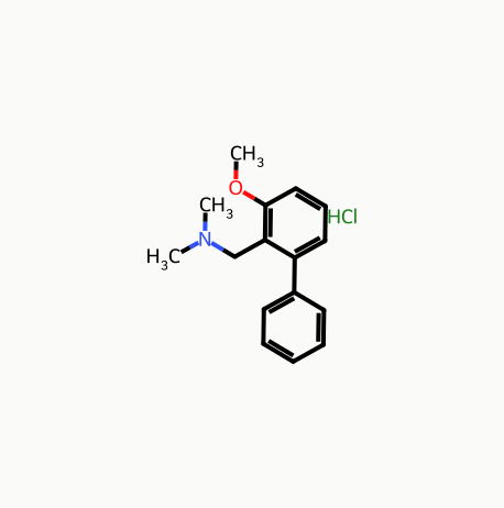 COc1cccc(-c2ccccc2)c1CN(C)C.Cl